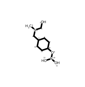 CN(CO)CC1CCC(ON(O)O)CC1